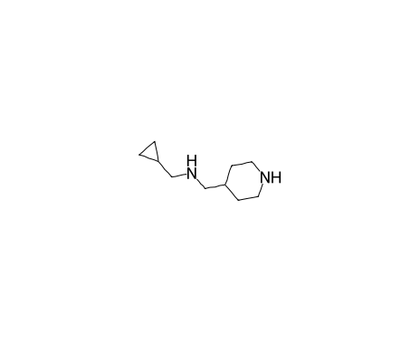 C1CC(CNCC2CC2)CCN1